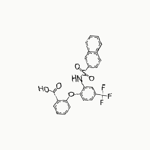 O=C(O)c1ccccc1Oc1ccc(C(F)(F)F)cc1NS(=O)(=O)c1ccc2ccccc2c1